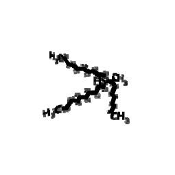 CCCCCC=CC(C)[SiH](CCCCCCCCCC)CCCCCCCCCC